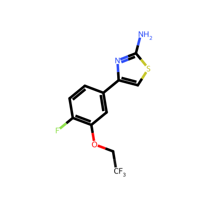 Nc1nc(-c2ccc(F)c(OCC(F)(F)F)c2)cs1